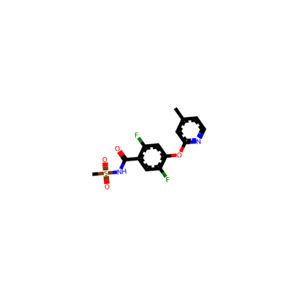 Cc1ccnc(Oc2cc(F)c(C(=O)NS(C)(=O)=O)cc2F)c1